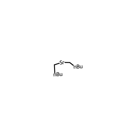 CCCC[CH2][Sr][CH2]CCCC